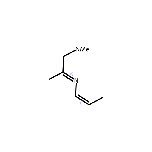 C/C=C\N=C(/C)CNC